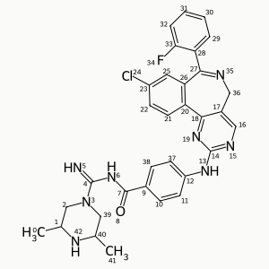 CC1CN(C(=N)NC(=O)c2ccc(Nc3ncc4c(n3)-c3ccc(Cl)cc3C(c3ccccc3F)=NC4)cc2)CC(C)N1